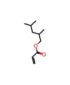 C=CC(=O)OCC(C)CC(C)C